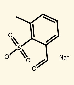 Cc1cccc(C=O)c1S(=O)(=O)[O-].[Na+]